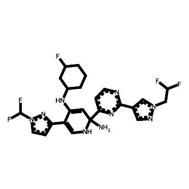 NC1(c2ccnc(-c3cnn(CC(F)F)c3)n2)C=C(NC2CCCC(F)C2)C(c2ccn(C(F)F)n2)=CN1